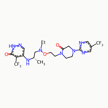 CCN(C[C@H](C)Nc1cn[nH]c(=O)c1C(F)(F)F)OCCN1CCN(c2ncc(C(F)(F)F)cn2)CC1=O